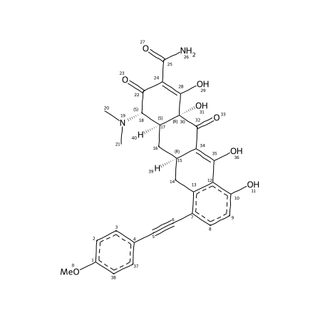 COc1ccc(C#Cc2ccc(O)c3c2C[C@H]2C[C@H]4[C@H](N(C)C)C(=O)C(C(N)=O)=C(O)[C@@]4(O)C(=O)C2=C3O)cc1